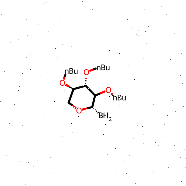 B[C@@H]1OC[C@@H](OCCCC)[C@H](OCCCC)C1OCCCC